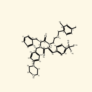 Cc1ccc(COCCN(C)C(=O)[C@H](Cc2ccccc2)N(Cc2ccc(N3CCOCC3)cc2)C(=O)C=Cc2ccc(C(F)(F)F)cc2)c(C)c1